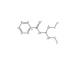 CCO[C](OCC)OC(=O)c1ccccc1